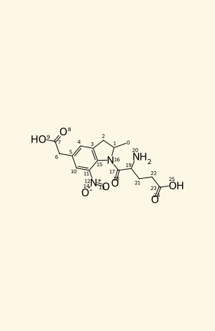 CC1Cc2cc(CC(=O)O)cc([N+](=O)[O-])c2N1C(=O)C(N)CCC(=O)O